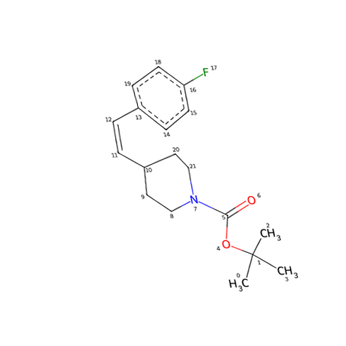 CC(C)(C)OC(=O)N1CCC(/C=C\c2ccc(F)cc2)CC1